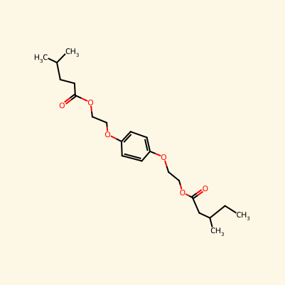 CCC(C)CC(=O)OCCOc1ccc(OCCOC(=O)CCC(C)C)cc1